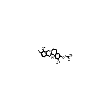 COc1cc2c(cc1OCC(=O)O)CCN1Cc3c(ccc(OC)c3OC)C[C@H]21